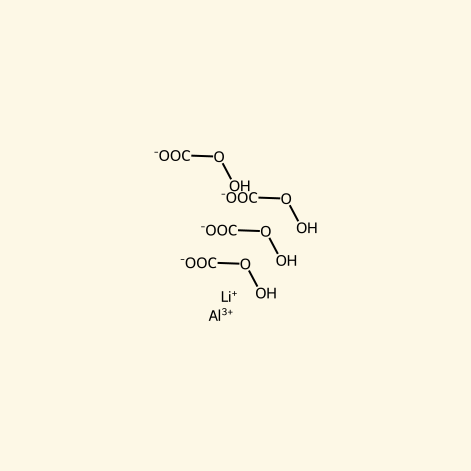 O=C([O-])OO.O=C([O-])OO.O=C([O-])OO.O=C([O-])OO.[Al+3].[Li+]